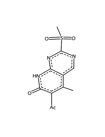 CC(=O)c1c(C)c2cnc(S(C)(=O)=O)nc2[nH]c1=O